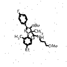 CCCCC1C(c2ccc(F)cc2)=NN(c2ccc(CC)cc2C)C1(C)C(=O)NCCCOC